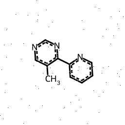 Cc1cncnc1-c1ccccn1